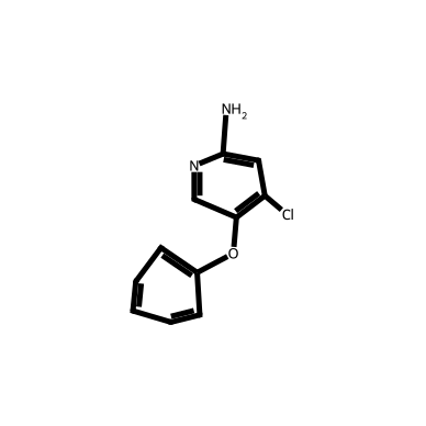 Nc1cc(Cl)c(Oc2ccccc2)cn1